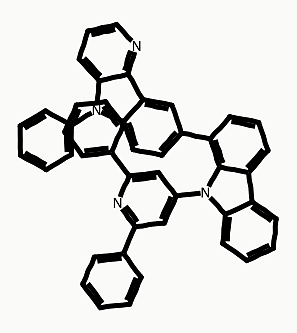 c1ccc(-c2cc(-n3c4ccccc4c4cccc(-c5ccc6c(c5)c5ncccc5n6-c5ccccc5)c43)cc(-c3ccccc3)n2)cc1